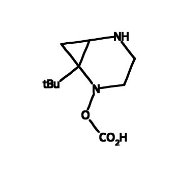 CC(C)(C)C12CC1NCCN2OC(=O)O